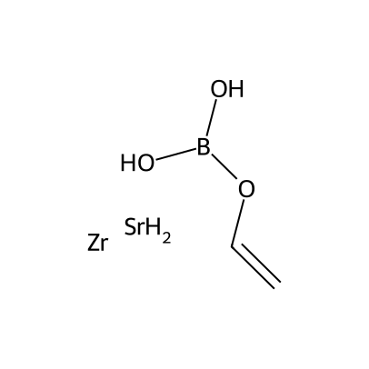 C=COB(O)O.[SrH2].[Zr]